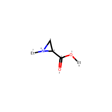 CCOC(=O)C1CN1CC